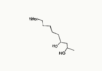 CCCCCCCCCCCC(O)CC(C)O